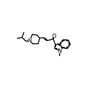 CC(C)CN1CCC(/C=C/C(=O)c2cn(C)c3ccccc23)CC1